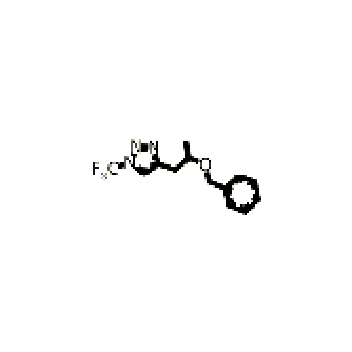 CC(Cc1cn(C(F)(F)F)nn1)OCc1ccccc1